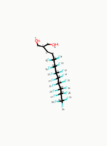 OCC(CO)CCC(F)(F)C(F)(F)C(F)(F)C(F)(F)C(F)(F)C(F)(F)C(F)(F)C(F)(F)F